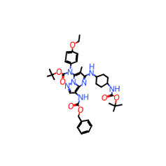 CCOc1ccc(N(C(=O)OC(C)(C)C)c2c(C)c(NC3CCC(NC(=O)OC(C)(C)C)CC3)nc3c(NC(=O)OCc4ccccc4)cnn23)cc1